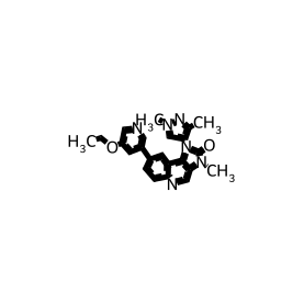 CCOc1cncc(-c2ccc3ncc4c(c3c2)n(-c2cn(C)nc2C)c(=O)n4C)c1